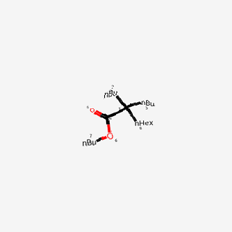 CCCCCCC(CCCC)(CCCC)C(=O)OCCCC